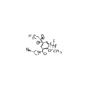 CCS(=O)(=O)c1ccc(O[C@@H](C)C(F)(F)F)c(C(=O)N2CCC(C#N)C2)c1